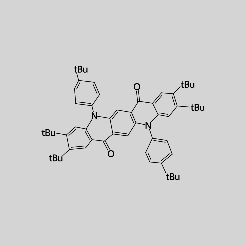 CC(C)(C)c1ccc(-n2c3cc(C(C)(C)C)c(C(C)(C)C)cc3c(=O)c3cc4c(cc32)c(=O)c2cc(C(C)(C)C)c(C(C)(C)C)cc2n4-c2ccc(C(C)(C)C)cc2)cc1